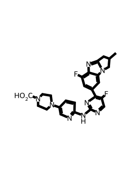 CC1Cc2nc3c(F)cc(-c4nc(Nc5ccc(N6CCN(C(=O)O)CC6)cn5)ncc4F)cc3n2C1